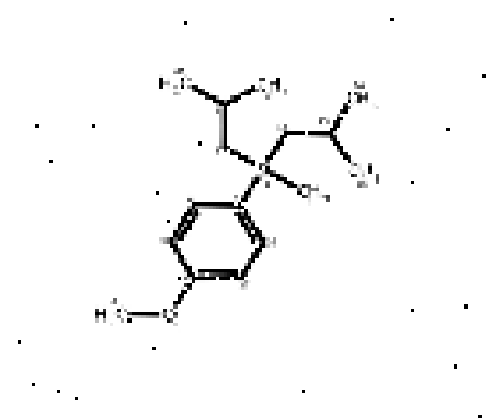 COc1ccc([Si](C)(CC(C)C)CC(C)C)cc1